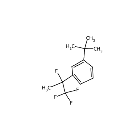 CC(C)(C)c1cccc(C(C)(F)C(F)(F)F)c1